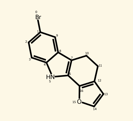 Brc1ccc2[nH]c3c(c2c1)CCc1ccoc1-3